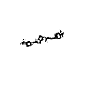 CNC1CCN(c2ccc3cc(NC(=O)CCc4ccc(C(F)(F)F)cc4)ccc3n2)C1